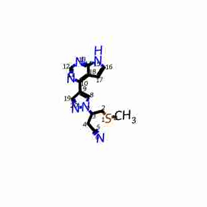 CSCC(CC#N)n1cc(-c2ncnc3[nH]ccc23)cn1